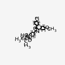 COc1ccc(-c2nc(C3CCN(C(=O)N(O)C(C)C)CC3)oc2-c2ccc(Cl)cc2)cc1